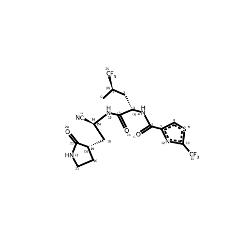 C[C@H](C[C@H](NC(=O)c1csc(C(F)(F)F)n1)C(=O)N[C@H](C#N)C[C@@H]1CCNC1=O)C(F)(F)F